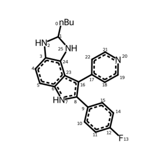 CCCCC1Nc2ccc3[nH]c(-c4ccc(F)cc4)c(-c4ccncc4)c3c2N1